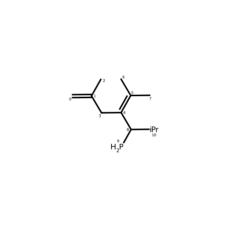 C=C(C)CC(=C(C)C)C(P)C(C)C